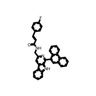 O=C(/C=C/c1ccc(F)cc1)NCc1cc2c([nH]c3ccccc32)c(-c2cc3ccccc3c3ccccc23)n1